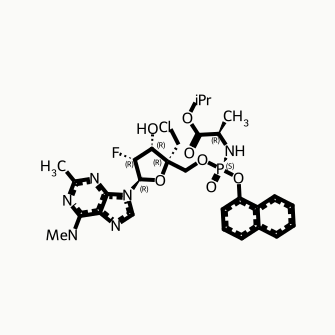 CNc1nc(C)nc2c1ncn2[C@@H]1O[C@](CCl)(CO[P@@](=O)(N[C@H](C)C(=O)OC(C)C)Oc2cccc3ccccc23)[C@@H](O)[C@H]1F